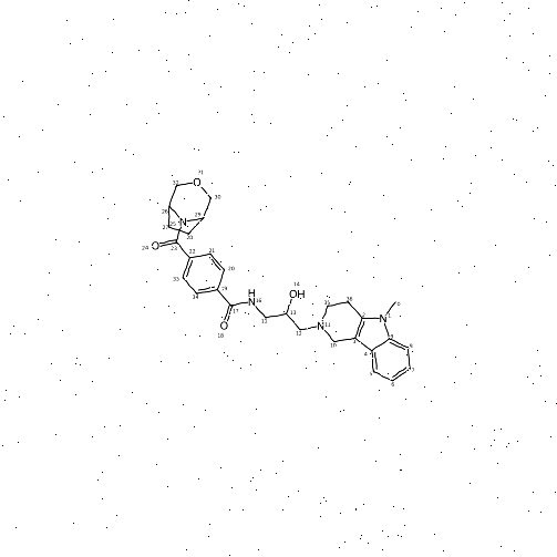 Cn1c2c(c3ccccc31)CN(CC(O)CNC(=O)c1ccc(C(=O)N3C4CCC3COC4)cc1)CC2